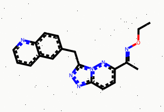 CCON=C(C)c1ccc2nnc(Cc3ccc4ncccc4c3)n2n1